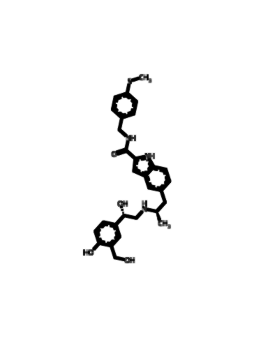 CSc1ccc(CNC(=O)c2cc3cc(C[C@@H](C)NC[C@@H](O)c4ccc(O)c(CO)c4)ccc3[nH]2)cc1